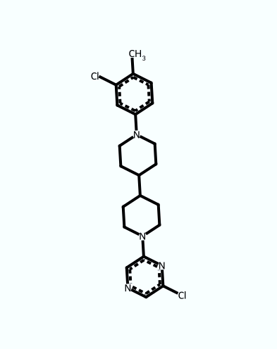 Cc1ccc(N2CCC(C3CCN(c4cncc(Cl)n4)CC3)CC2)cc1Cl